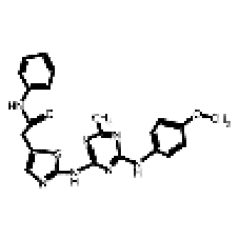 COc1ccc(Nc2nc(C)nc(Nc3ncc(CC(=O)Nc4ccccc4)s3)n2)cc1